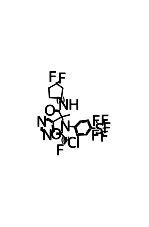 CC(C(=O)N[C@H]1CCC(F)(F)C1)(c1cncnc1)N(C(=O)[C@H](F)Cl)c1ccc(S(F)(F)(F)(F)F)cc1